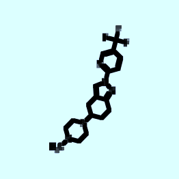 CN1CCN(C2CCc3nn(-c4ccc(C(F)(F)F)cn4)cc3C2)CC1